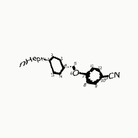 CCCCCCC[C@H]1CC[C@H](COc2ccc(C#N)cc2)CC1